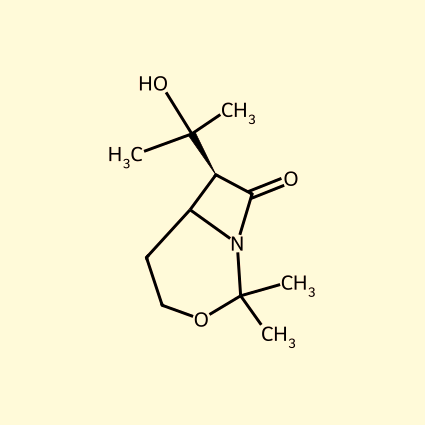 CC(C)(O)[C@H]1C(=O)N2C1CCOC2(C)C